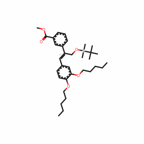 CCCCCOc1ccc(/C=C(\CO[Si](C)(C)C(C)(C)C)c2cccc(C(=O)OC)c2)cc1OCCCCC